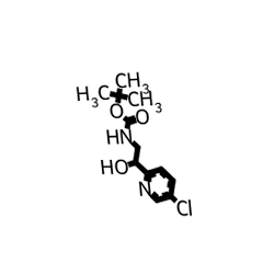 CC(C)(C)OC(=O)NCC(O)c1ccc(Cl)cn1